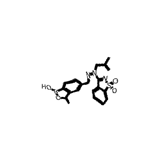 CC(C)CN(/N=C/c1ccc2c(c1)C(C)OB2O)C1=NS(=O)(=O)c2ccccc21